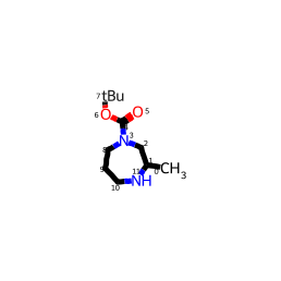 CC1CN(C(=O)OC(C)(C)C)CCCN1